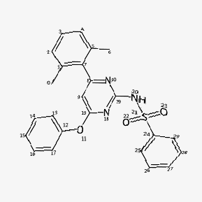 Cc1cccc(C)c1-c1cc(Oc2ccccc2)nc(NS(=O)(=O)c2ccccc2)n1